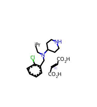 CC(C)CN(Cc1ccccc1Cl)C1CCNCC1.O=C(O)/C=C/C(=O)O